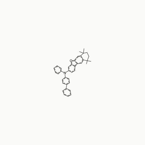 CC1(C)CCC(C)(C)c2cc3c(cc21)oc1cc(N(c2ccccc2)c2ccc(-c4ccccc4)cc2)ccc13